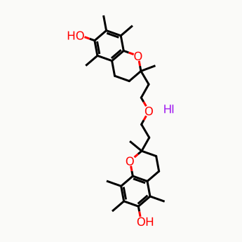 Cc1c(C)c2c(c(C)c1O)CCC(C)(CCOCCC1(C)CCc3c(C)c(O)c(C)c(C)c3O1)O2.I